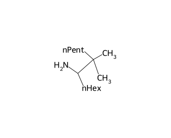 CCCCCCC(N)C(C)(C)CCCCC